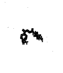 CC(CCC(C)N1CC2(CN(I)C2)C1)C1CCN(C(C)C)CC1